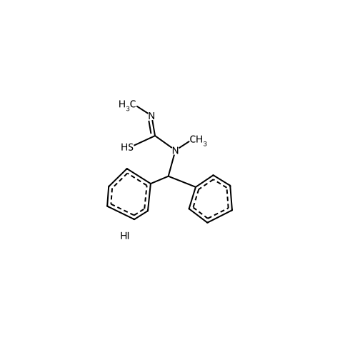 CN=C(S)N(C)C(c1ccccc1)c1ccccc1.I